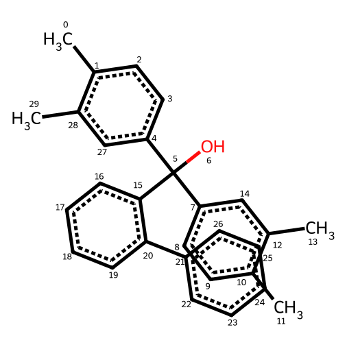 Cc1ccc(C(O)(c2ccc(C)c(C)c2)c2ccccc2-c2ccccc2)cc1C